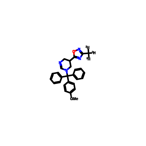 [2H]C([2H])([2H])c1noc(C2CN=CN(C(c3ccccc3)(c3ccccc3)c3ccc(OC)cc3)C2)n1